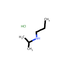 CCCNC(C)C.Cl